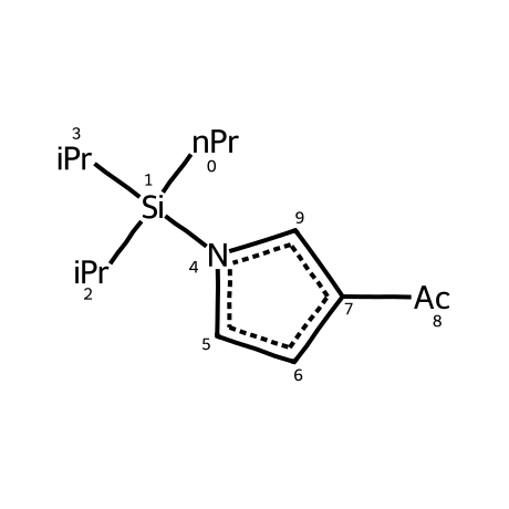 CCC[Si](C(C)C)(C(C)C)n1ccc(C(C)=O)c1